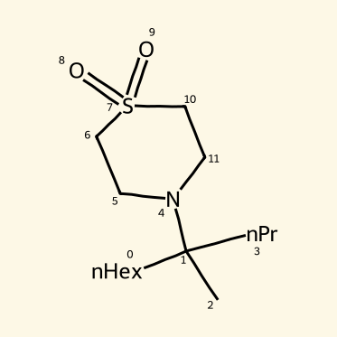 CCCCCCC(C)(CCC)N1CCS(=O)(=O)CC1